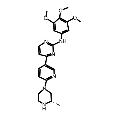 COc1cc(Nc2nccc(-c3ccc(N4CCN[C@@H](C)C4)nc3)n2)cc(OC)c1OC